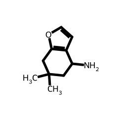 CC1(C)Cc2occc2C(N)C1